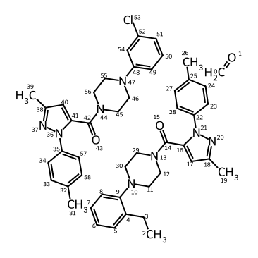 C=O.CCc1ccccc1N1CCN(C(=O)c2cc(C)nn2-c2ccc(C)cc2)CC1.Cc1ccc(-n2nc(C)cc2C(=O)N2CCN(c3cccc(Cl)c3)CC2)cc1